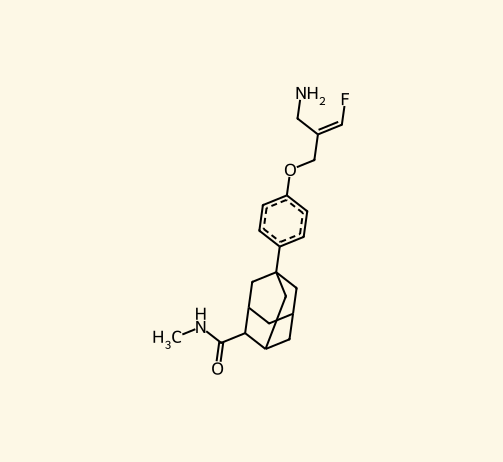 CNC(=O)C1C2CC3CC1CC(c1ccc(OC/C(=C/F)CN)cc1)(C3)C2